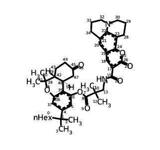 CCCCCCC(C)(C)c1cc(OC(=O)C(C)(C)CNC(=O)c2cc3cc4c5c(c3oc2=O)CCCN5CCC4)c2c(c1)OC(C)(C)[C@@H]1CCC(=O)C[C@@H]21